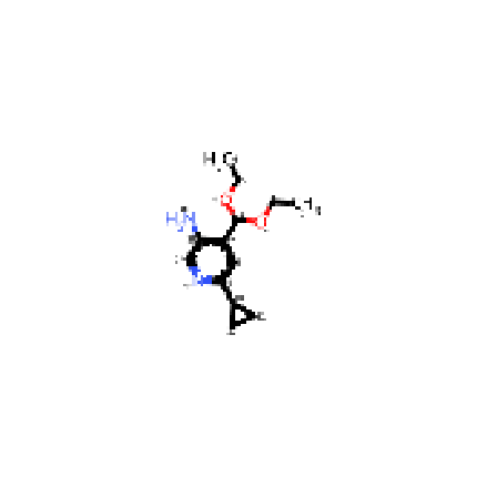 CCOC(OCC)c1cc(C2CC2)ncc1N